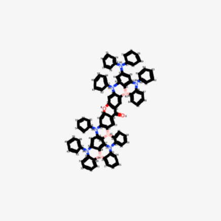 O=c1c2cc3c(cc2oc2cc4c(cc12)B1c2ccccc2N2c5ccccc5B5c6ccccc6N(c6ccccc6)c6cc(c1c2c65)N4c1ccccc1)N(c1ccccc1)c1cc(N(c2ccccc2)c2ccccc2)cc2c1B3c1ccccc1N2c1ccccc1